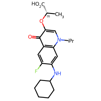 CC(C)n1cc(O[C@@H](C)C(=O)O)c(=O)c2cc(F)c(NC3CCCCC3)cc21